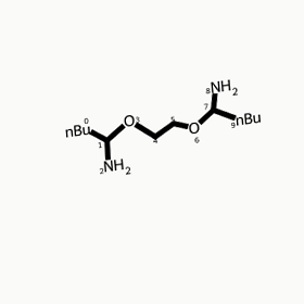 CCCCC(N)OCCOC(N)CCCC